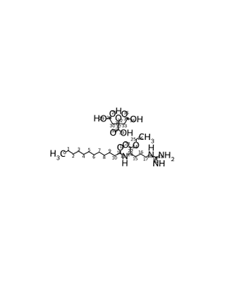 CCCCCCCCCCCC(=O)NC(CCCNC(=N)N)C(=O)OCC.O=C(O)CC(O)(CC(=O)O)C(=O)O